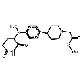 CN(c1ccc(C2CCN(CC(=O)OC(C)(C)C)CC2)cc1)C1CCC(=O)NC1=O